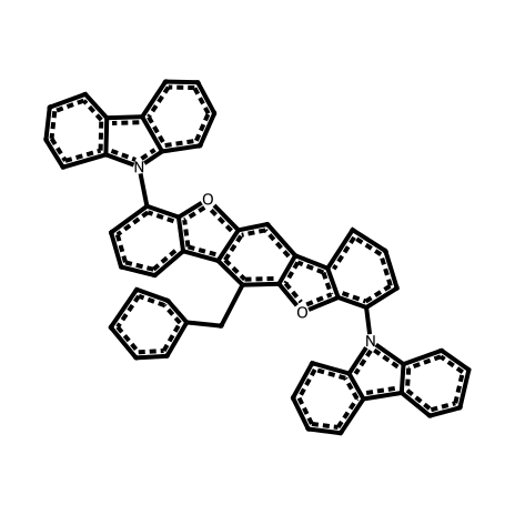 c1ccc(Cc2c3oc4c(-n5c6ccccc6c6ccccc65)cccc4c3cc3oc4c(-n5c6ccccc6c6ccccc65)cccc4c23)cc1